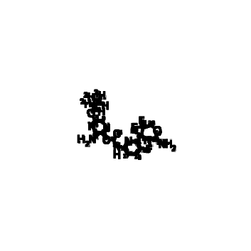 [2H]C([2H])([2H])C([2H])([2H])Oc1cnc(OC(=O)Nc2ccc(F)c([C@@]3(C)N=C(N)OCC3(F)F)n2)c(N)n1